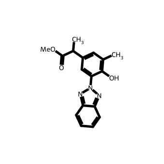 COC(=O)C(C)c1cc(C)c(O)c(-n2nc3ccccc3n2)c1